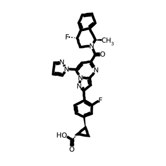 C[C@@H]1c2ccccc2[C@@H](F)CN1C(=O)c1cc(-n2cccn2)n2nc(-c3ccc([C@H]4C[C@@H]4C(=O)O)cc3F)cc2n1